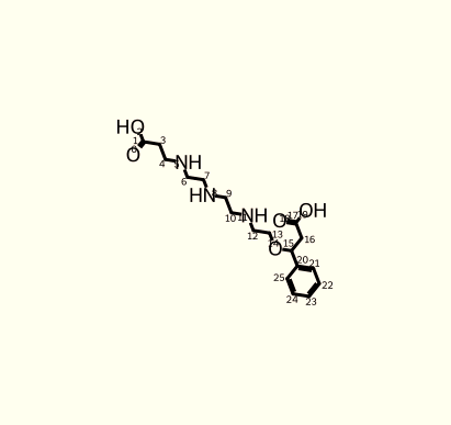 O=C(O)CCNCCNCCNCCOC(CC(=O)O)c1ccccc1